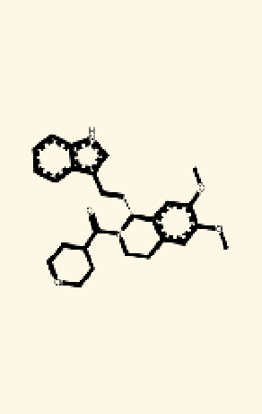 COc1cc2c(cc1OC)[C@@H](CCc1c[nH]c3ccccc13)N(C(=O)C1CCOCC1)CC2